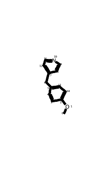 COc1ccc(Cc2ccncc2)cc1